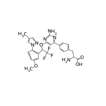 COc1ccc(-n2cc(C)cn2)c(C(Oc2cc(-c3ccc(CC(N)C(=O)O)cc3)nc(N)n2)C(F)(F)F)c1